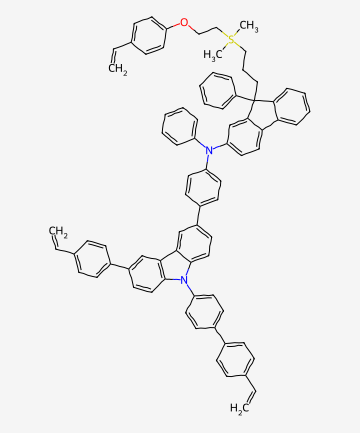 C=Cc1ccc(OCCS(C)(C)CCCC2(c3ccccc3)c3ccccc3-c3ccc(N(c4ccccc4)c4ccc(-c5ccc6c(c5)c5cc(-c7ccc(C=C)cc7)ccc5n6-c5ccc(-c6ccc(C=C)cc6)cc5)cc4)cc32)cc1